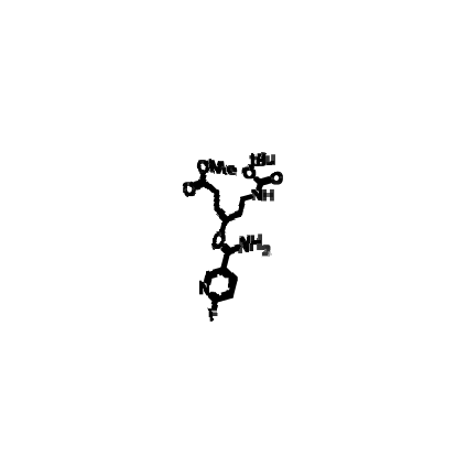 COC(=O)CCC(CCNC(=O)OC(C)(C)C)OC(N)c1ccc(F)nc1